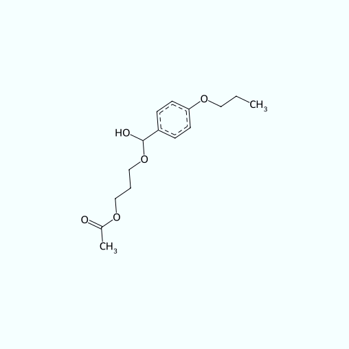 CCCOc1ccc(C(O)OCCCOC(C)=O)cc1